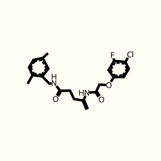 C=C(CCC(=O)NCc1cc(C)ccc1C)NC(=O)COc1ccc(Cl)c(F)c1